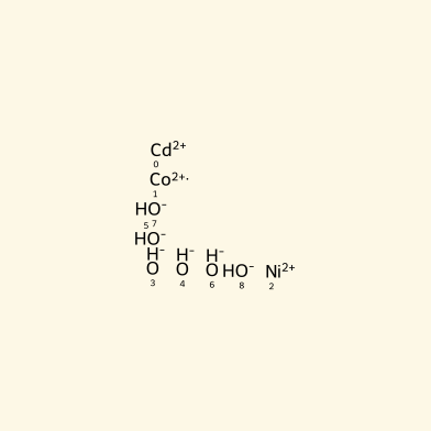 [Cd+2].[Co+2].[Ni+2].[OH-].[OH-].[OH-].[OH-].[OH-].[OH-]